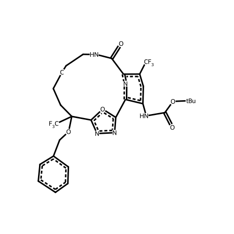 CC(C)(C)OC(=O)Nc1cc(C(F)(F)F)c2nc1-c1nnc(o1)C(OCc1ccccc1)(C(F)(F)F)CCCCCNC2=O